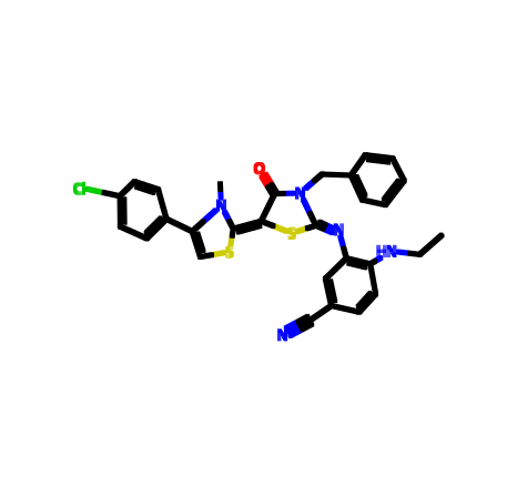 CCNc1ccc(C#N)cc1N=C1SC(=C2SC=C(c3ccc(Cl)cc3)N2C)C(=O)N1Cc1ccccc1